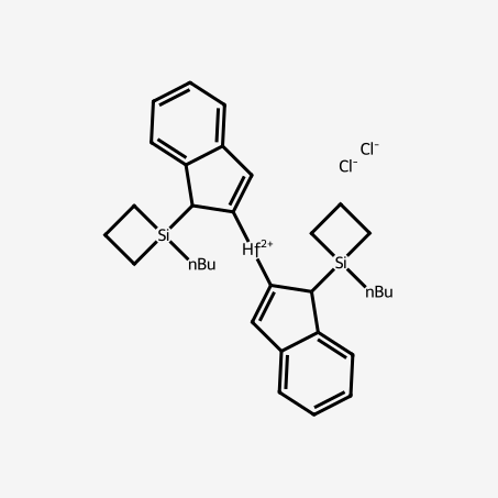 CCCC[Si]1(C2[C]([Hf+2][C]3=Cc4ccccc4C3[Si]3(CCCC)CCC3)=Cc3ccccc32)CCC1.[Cl-].[Cl-]